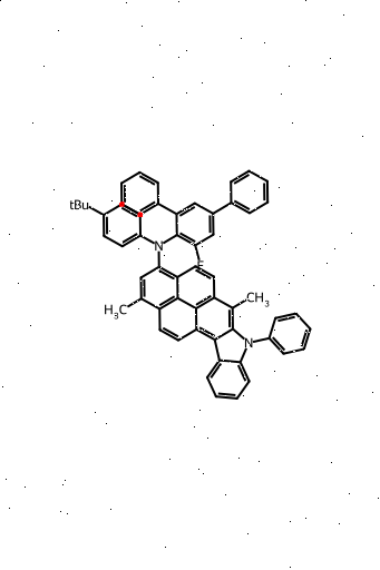 Cc1cc(N(c2ccc(C(C)(C)C)cc2)c2c(F)cc(-c3ccccc3)cc2-c2ccccc2)c2ccc3c(C)c4c(c5ccc1c2c35)c1ccccc1n4-c1ccccc1